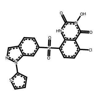 O=c1[nH]c2c(S(=O)(=O)c3ccc4cnn(-c5cccs5)c4c3)ccc(Cl)c2c(=O)n1O